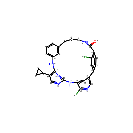 O=C1NCCCc2cccc(c2)Nc2nc(ncc2C2CC2)Nc2cc(cnc2F)-c2ccc1c(F)c2